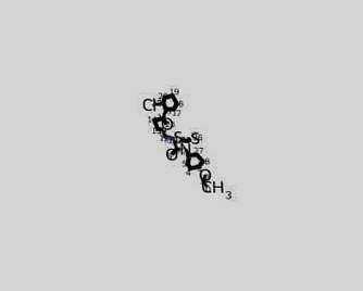 CCOc1ccc(N2C(=O)/C(=C/c3ccc(-c4ccccc4Cl)o3)SC2=S)cc1